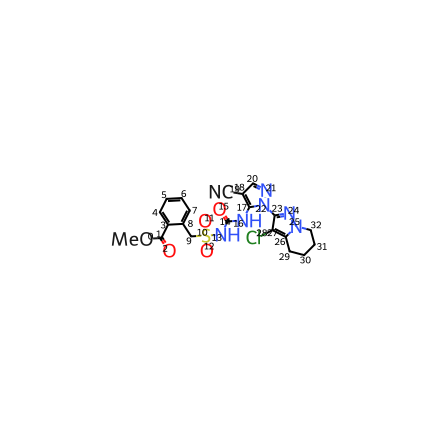 COC(=O)c1ccccc1CS(=O)(=O)NC(=O)Nc1c(C#N)cnn1-c1nn2c(c1Cl)CCCC2